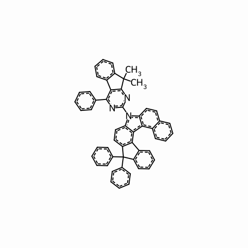 CC1(C)c2ccccc2-c2c(-c3ccccc3)nc(-n3c4ccc5c(c4c4c6ccccc6ccc43)-c3ccccc3C5(c3ccccc3)c3ccccc3)nc21